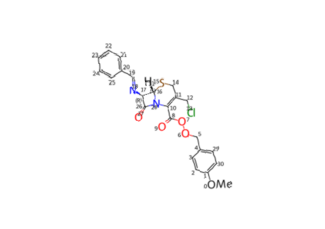 COc1ccc(COOC(=O)C2=C(CCl)CS[C@H]3[C@H](N=Cc4ccccc4)C(=O)N23)cc1